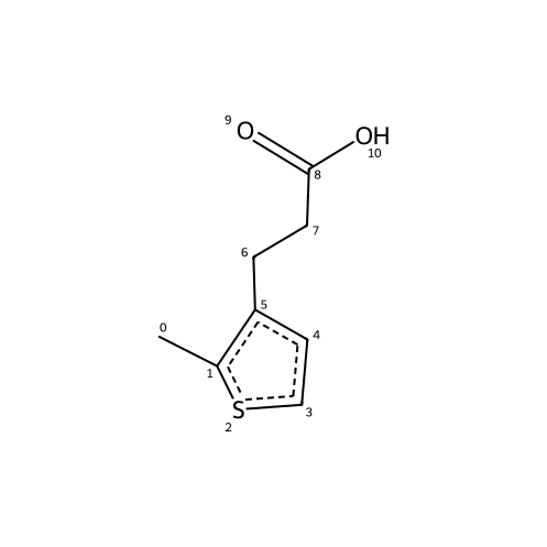 Cc1sccc1CCC(=O)O